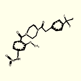 COc1cc(N[SH](=O)=O)ccc1C(=O)N1CCN(C(=O)Cc2ccc(C(F)(F)F)cc2)CC1